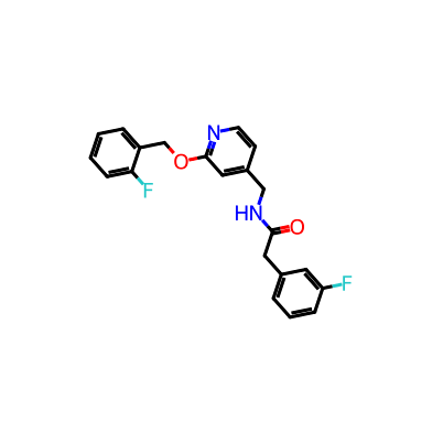 O=C(Cc1cccc(F)c1)NCc1ccnc(OCc2ccccc2F)c1